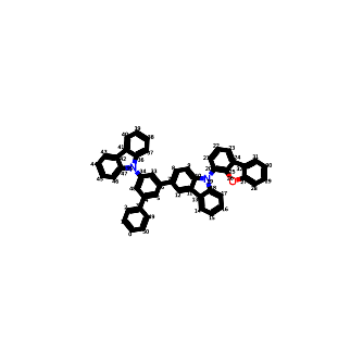 c1ccc(-c2cc(-c3ccc4c(c3)c3ccccc3n4-c3cccc4c3oc3ccccc34)cc(-n3c4ccccc4c4ccccc43)c2)cc1